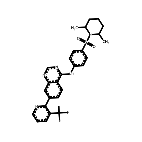 CC1CCCC(C)N1S(=O)(=O)c1ccc(Nc2ncnc3cc(-c4ncccc4C(F)(F)F)ccc23)cc1